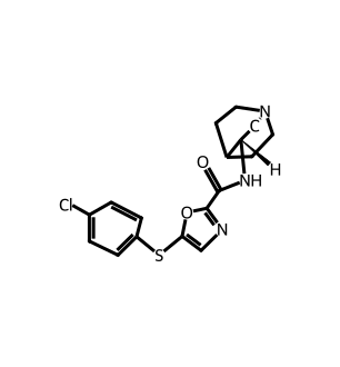 O=C(N[C@H]1CN2CCC1CC2)c1ncc(Sc2ccc(Cl)cc2)o1